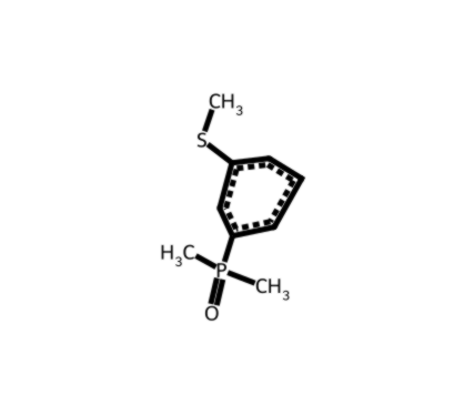 CSc1cccc(P(C)(C)=O)c1